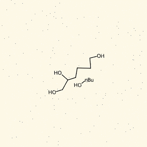 CCCCO.OCCCCC(O)CO